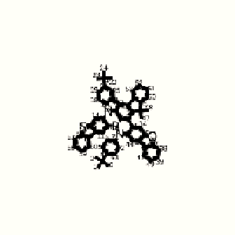 CC(C)(C)c1ccc(N2B3c4cc5c(cc4-n4c6ccc(C(C)(C)C)cc6c6c7c(c(c3c64)-c3cc4oc6ccccc6c4cc32)C(C)(C)c2ccccc2-7)sc2ccccc25)cc1